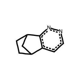 c1cc2c(nn1)C1CCC2C1